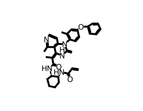 C=CC(=O)N[C@H]1CCCC[C@H]1NC(=O)/C(C)=C1\NC(=C)N(c2ccc(Oc3ccccc3)cc2C)c2ccnc(C)c21